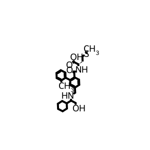 CSCC[C@H](NC(=O)c1ccc(CNC(CO)C2CCCCC2)cc1-c1ccccc1C)C(=O)O